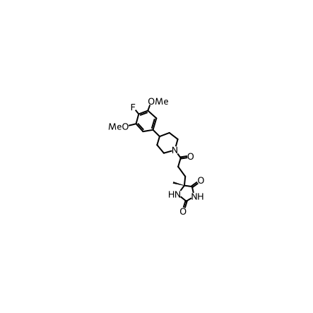 COc1cc(C2CCN(C(=O)CC[C@@]3(C)NC(=O)NC3=O)CC2)cc(OC)c1F